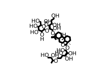 C=C1C[C@@]23CCC4[C@](C)(C(=O)OC(O)/C(O)=C(/O)C(O)CCOC(C)C(O)CO)CCC[C@@]4(C)[C@@H]2CC[C@]1(OC(O)/C(OC1OC(CO)C(O)C(O)C1O)=C(/OO)C(O)CCO)C3